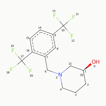 O[C@H]1CCCN(Cc2cc(C(F)(F)F)ccc2C(F)(F)F)C1